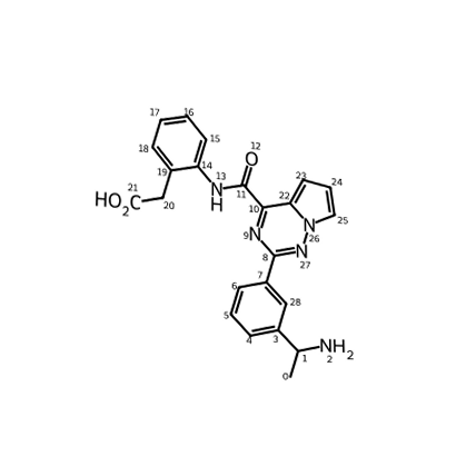 CC(N)c1cccc(-c2nc(C(=O)Nc3ccccc3CC(=O)O)c3cccn3n2)c1